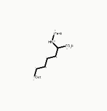 CCCCCCCCCCCCC(NC(C)CCC)C(=O)O